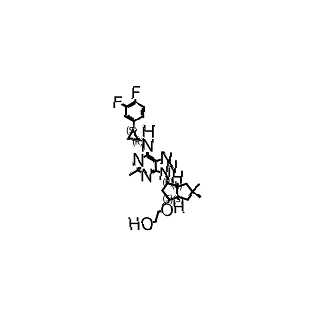 Cc1nc(N[C@@H]2C[C@H]2c2ccc(F)c(F)c2)c2nnn([C@@H]3C[C@H](OCCO)[C@H]4CC(C)(C)C[C@H]43)c2n1